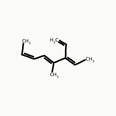 C=CC(=C\C)/C(C)=C/C=C\C